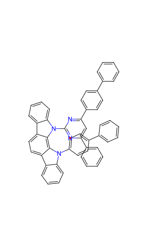 c1ccc(-c2ccc(-c3cc(-c4ccccc4)nc(-n4c5ccccc5c5ccc6c7ccccc7n(-c7ccc(-c8ccccc8)cc7)c6c54)n3)cc2)cc1